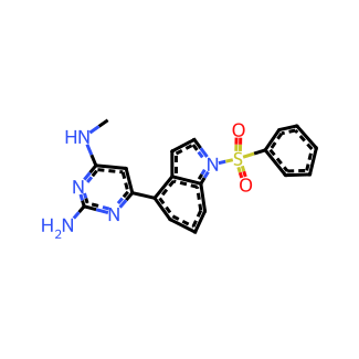 CNc1cc(-c2cccc3c2ccn3S(=O)(=O)c2ccccc2)nc(N)n1